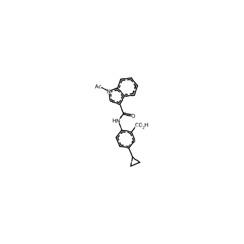 CC(=O)n1cc(C(=O)Nc2ccc(C3CC3)cc2C(=O)O)c2ccccc21